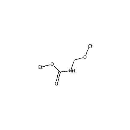 CCOCNC(=O)OCC